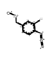 [N-]=[N+]=Nc1ccc(CNCl)cc1I